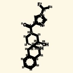 O=C(c1cn(C(F)F)cn1)N1CC[C@]2(Cc3ccccc3CN2)[C@H](O)C1